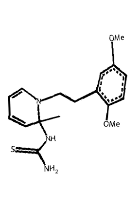 COc1ccc(OC)c(CCN2C=CC=CC2(C)NC(N)=S)c1